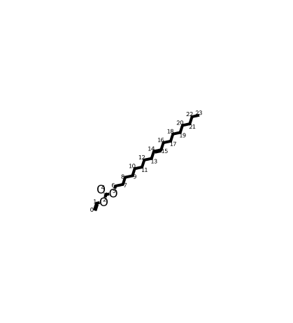 C=COC(=O)OCCCCCCCC/C=C/CCCCCCCC